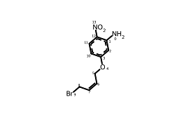 Nc1cc(OC/C=C\CBr)ccc1[N+](=O)[O-]